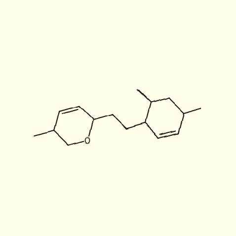 CC1C=CC(CCC2C=CC(C)CC2C)OC1